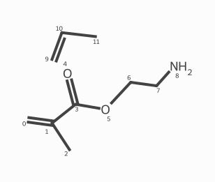 C=C(C)C(=O)OCCN.C=CC